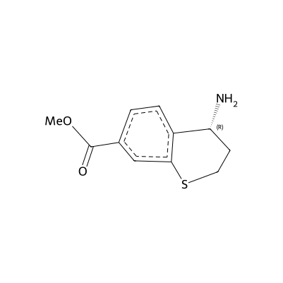 COC(=O)c1ccc2c(c1)SCC[C@H]2N